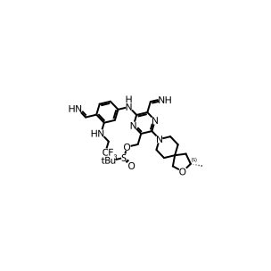 C[C@H]1CC2(CCN(c3nc(C=N)c(Nc4ccc(C=N)c(NCC(F)(F)F)c4)nc3COS(=O)C(C)(C)C)CC2)CO1